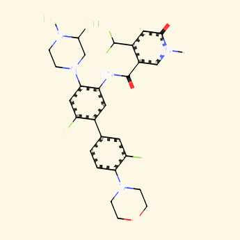 CC1CN(c2cc(F)c(-c3ccc(N4CCOCC4)c(F)c3)cc2NC(=O)c2cn(C)c(=O)cc2C(F)F)CCN1C